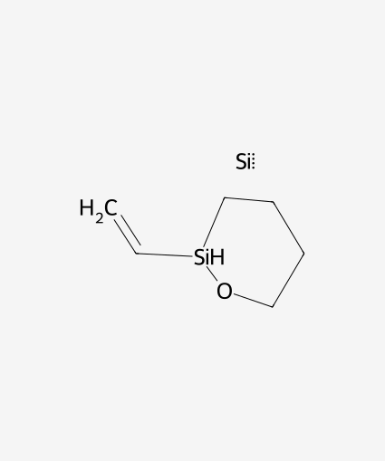 C=C[SiH]1CCCCO1.[Si]